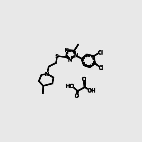 Cc1nc(SCCN2CCC(C)CC2)nn1-c1ccc(Cl)c(Cl)c1.O=C(O)C(=O)O